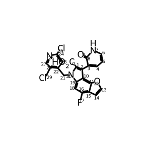 O=C(O)c1c(-c2ccc[nH]c2=O)c2c3occc3c(F)cc2n1Cc1cc(Cl)ncc1Cl